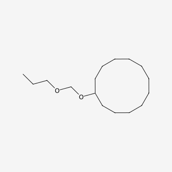 CCCOCOC1CCCCCCCCCCC1